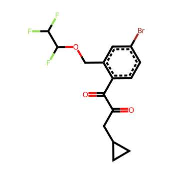 O=C(CC1CC1)C(=O)c1ccc(Br)cc1COC(F)C(F)F